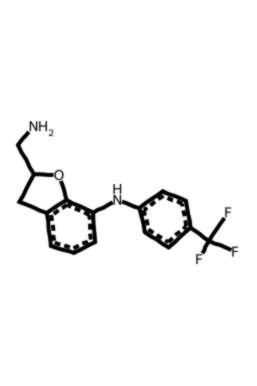 NCC1Cc2cccc(Nc3ccc(C(F)(F)F)cc3)c2O1